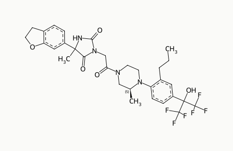 CCCc1cc(C(O)(C(F)(F)F)C(F)(F)F)ccc1N1CCN(C(=O)CN2C(=O)NC(C)(c3ccc4c(c3)OCC4)C2=O)C[C@@H]1C